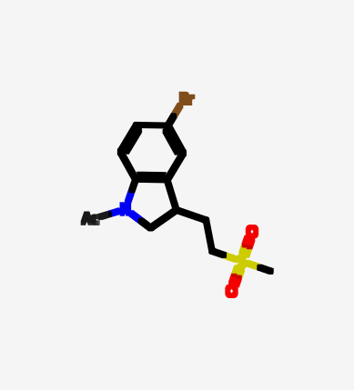 CC(=O)N1CC(CCS(C)(=O)=O)c2cc(Br)ccc21